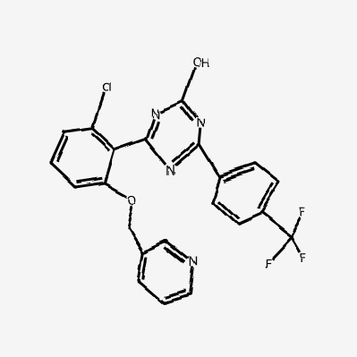 Oc1nc(-c2ccc(C(F)(F)F)cc2)nc(-c2c(Cl)cccc2OCc2cccnc2)n1